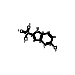 O=S(=O)(Cl)c1cc2nc(Cl)ccc2s1